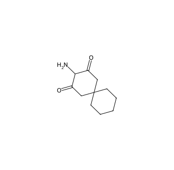 NC1C(=O)CC2(CCCCC2)CC1=O